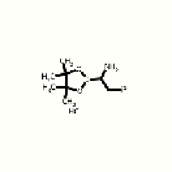 CC(C)CC(N)B1OC(C)(C)C(C)(C)O1.Cl